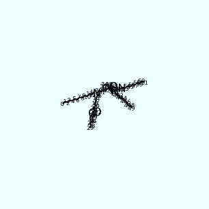 CCCCCCCCCCCCCCN(CCCCCCC(=O)OCCCCCC)CCC1CCCN(C(=O)CN(CCCCCCCCC)CCNCCCCCCCCC)C1